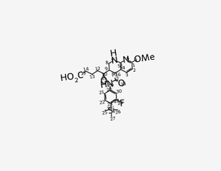 COc1ccc2c(n1)NCC(C(=O)CCCC(=O)O)[C@H]2C(=O)Nc1ccc([Si](C)(C)C)c(F)c1